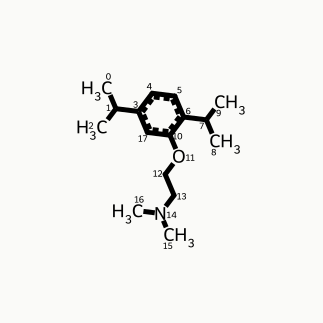 CC(C)c1ccc(C(C)C)c(OCCN(C)C)c1